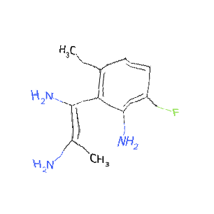 C/C(N)=C(/N)c1c(C)ccc(F)c1N